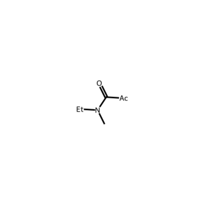 CCN(C)C(=O)C(C)=O